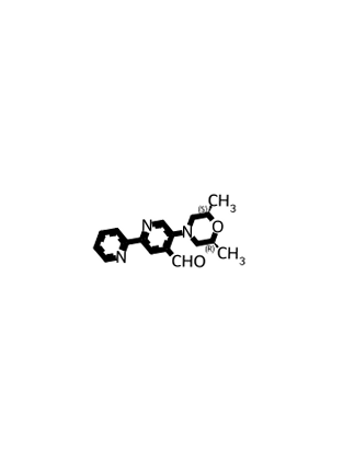 C[C@@H]1CN(c2cnc(-c3ccccn3)cc2C=O)C[C@H](C)O1